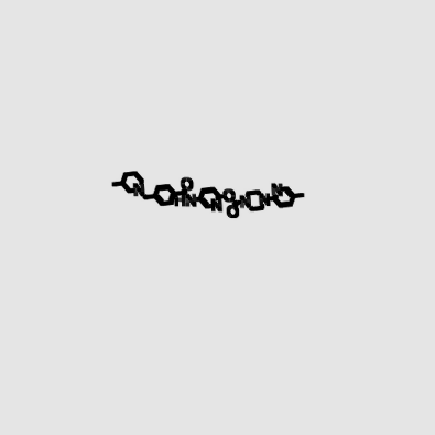 Cc1ccc(N2CCN(C(=O)Oc3ccc(NC(=O)c4ccc(CN5CCCC(C)C5)cc4)cn3)CC2)nc1